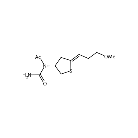 COCC/C=C1/C[C@@H](N(C(C)=O)C(N)=O)CS1